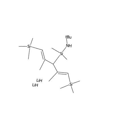 CC(=C[Si](C)(C)C)C(C(C)=C[Si](C)(C)C)[Si](C)(C)NC(C)(C)C.[LiH].[LiH]